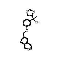 CC(O)(c1cccc(OCc2ccc3ccccc3c2)c1)c1cscn1